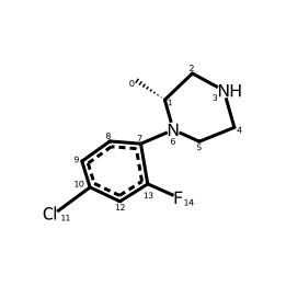 C[C@@H]1CNCCN1c1ccc(Cl)cc1F